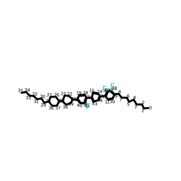 CCCCCCCCCc1ccc(-c2ccc(-c3ccc(C4CCC(C5CCC(CCCCCCC)CC5)CC4)cc3F)cc2)c(F)c1F